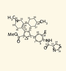 COC(=O)c1sc(-c2ccc(NC(=O)c3cscn3)c(F)c2)cc1C1=C(C2CCC(C)CC2)CN(C)CC1